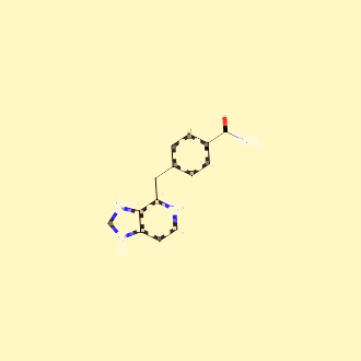 NC(=O)c1ccc(Cc2nccc3[nH]cnc23)cc1